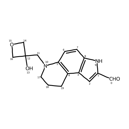 O=Cc1cc2c3c(ccc2[nH]1)N(CC1(O)COC1)CCC3